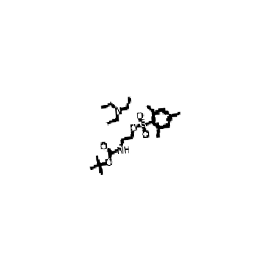 CCN(CC)CC.Cc1cc(C)c(S(=O)(=O)OCCNC(=O)OC(C)(C)C)c(C)c1